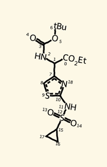 CCOC(=O)C(NC(=O)OC(C)(C)C)c1csc(NS(=O)(=O)C2CC2)n1